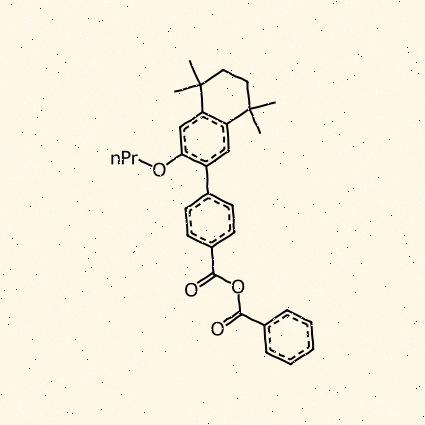 CCCOc1cc2c(cc1-c1ccc(C(=O)OC(=O)c3ccccc3)cc1)C(C)(C)CCC2(C)C